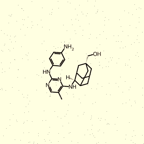 Cc1cnc(Nc2ccc(N)cc2)nc1N[C@H]1C2CC3CC1C[C@](CO)(C3)C2